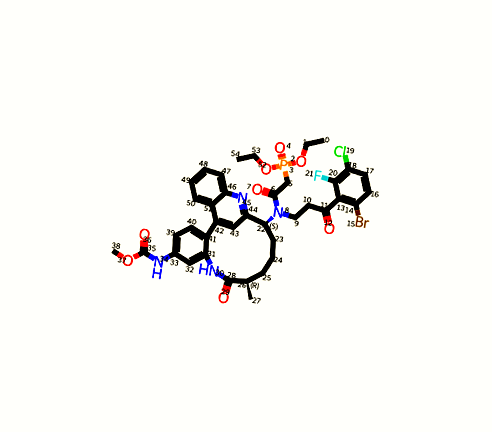 CCOP(=O)(CC(=O)N(CCC(=O)c1c(Br)ccc(Cl)c1F)[C@H]1CCC[C@@H](C)C(=O)Nc2cc(NC(=O)OC)ccc2-c2cc1nc1ccccc21)OCC